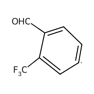 O=Cc1cc[c]cc1C(F)(F)F